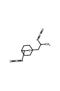 CC(CC12CCC(CC1)C(N=C=O)C2)N=C=O